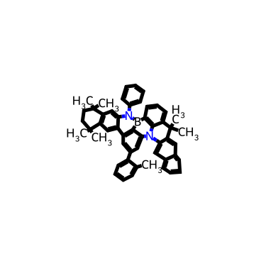 Cc1ccccc1-c1cc2c3c(c1)N1c4cc5ccccc5cc4C(C)(C)c4cccc(c41)B3N(c1ccccc1)c1cc3c(cc1-2)C(C)(C)CCC3(C)C